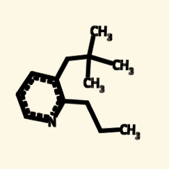 CCCc1ncccc1CC(C)(C)C